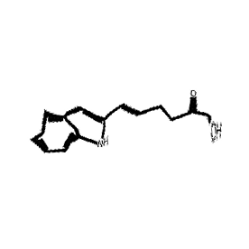 O=C(O)CCCCc1cc2ccccc2[nH]1